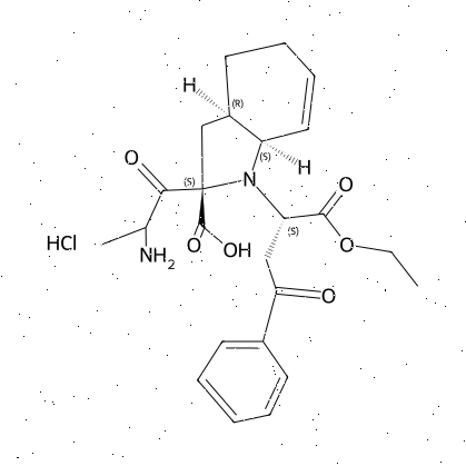 CCOC(=O)[C@H](CC(=O)c1ccccc1)N1[C@@H]2C=CCC[C@@H]2C[C@@]1(C(=O)O)C(=O)C(C)N.Cl